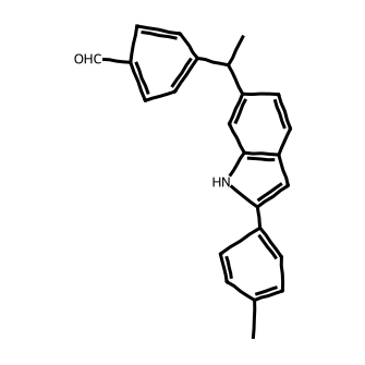 Cc1ccc(-c2cc3ccc(C(C)c4ccc(C=O)cc4)cc3[nH]2)cc1